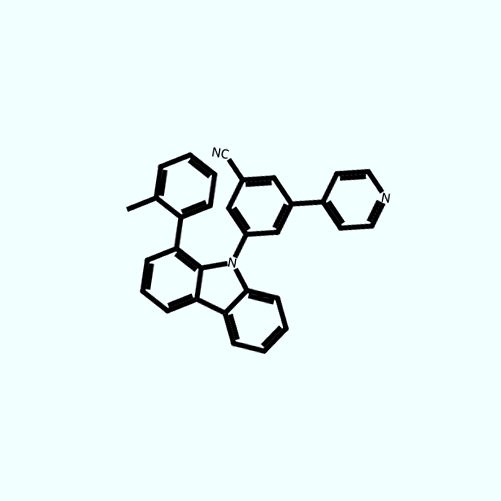 Cc1ccccc1-c1cccc2c3ccccc3n(-c3cc(C#N)cc(-c4ccncc4)c3)c12